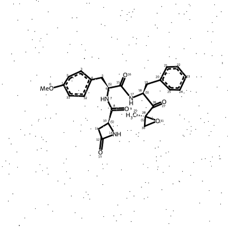 COc1ccc(C[C@H](NC(=O)[C@@H]2CC(=O)N2)C(=O)N[C@@H](Cc2ccccc2)C(=O)[C@]2(C)CO2)cc1